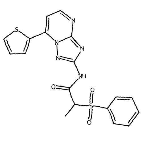 CC(C(=O)Nc1nc2nccc(-c3cccs3)n2n1)S(=O)(=O)c1ccccc1